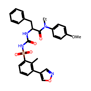 CCN(C(=O)C(Cc1ccccc1)NC(=O)NS(=O)(=O)c1cccc(-c2cnoc2)c1C)c1ccc(OC)cc1